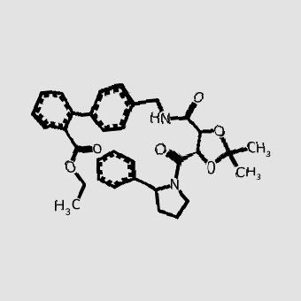 CCOC(=O)c1ccccc1-c1ccc(CNC(=O)C2OC(C)(C)O[C@H]2C(=O)N2CCCC2c2ccccc2)cc1